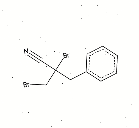 N#CC(Br)(CBr)Cc1ccccc1